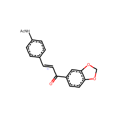 CC(=O)Nc1ccc(/C=C/C(=O)c2ccc3c(c2)OCO3)cc1